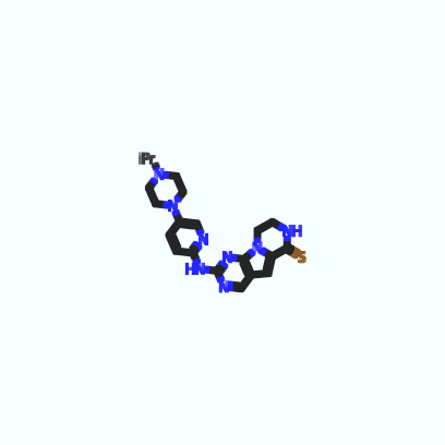 CC(C)N1CCN(c2ccc(Nc3ncc4cc5n(c4n3)CCNC5=S)nc2)CC1